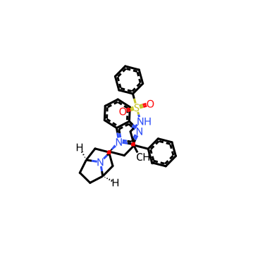 Cc1nc2ccccc2n1[C@H]1C[C@H]2CC[C@@H](C1)N2CCC(CNS(=O)(=O)c1ccccc1)c1ccccc1